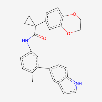 Cc1ccc(NC(=O)C2(c3ccc4c(c3)OCCO4)CC2)cc1-c1ccc2[nH]ccc2c1